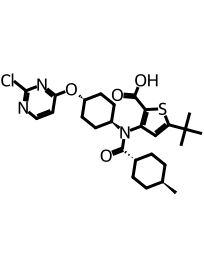 CC(C)(C)c1cc(N(C(=O)[C@H]2CC[C@H](C)CC2)[C@H]2CC[C@H](Oc3ccnc(Cl)n3)CC2)c(C(=O)O)s1